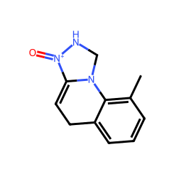 Cc1cccc2c1N1CN[N+](=O)C1=CC2